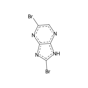 Brc1cnc2[nH]c(Br)nc2n1